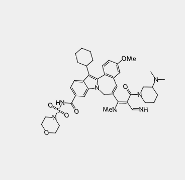 CN/C(C1=Cc2cc(OC)ccc2-c2c(C3CCCCC3)c3ccc(C(=O)NS(=O)(=O)N4CCOCC4)cc3n2C1)=C(\C=N)C(=O)N1CCCC(N(C)C)C1